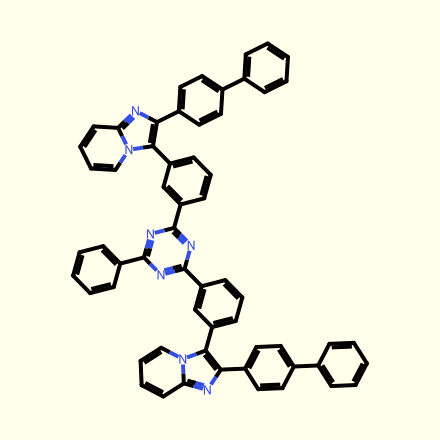 c1ccc(-c2ccc(-c3nc4ccccn4c3-c3cccc(-c4nc(-c5ccccc5)nc(-c5cccc(-c6c(-c7ccc(-c8ccccc8)cc7)nc7ccccn67)c5)n4)c3)cc2)cc1